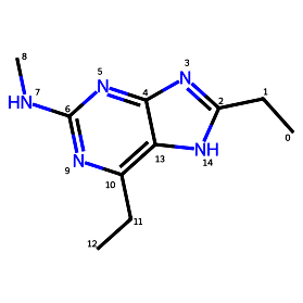 CCc1nc2nc(NC)nc(CC)c2[nH]1